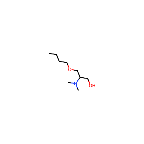 CCCCOCC(CO)N(C)C